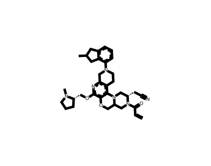 C=CC(=O)N1CC2COc3c(OC[C@@H]4CCCN4C)nc4c(c3N2C[C@@H]1CC#N)CCN(c1cccc2c1CC(C)C2)C4